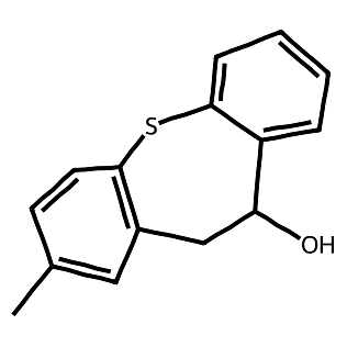 Cc1ccc2c(c1)CC(O)c1ccccc1S2